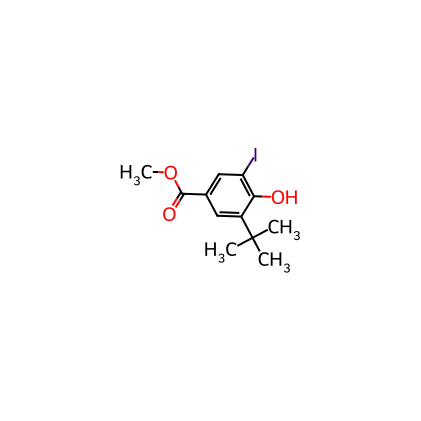 COC(=O)c1cc(I)c(O)c(C(C)(C)C)c1